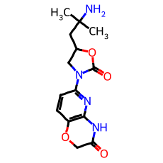 CC(C)(N)CC1CN(c2ccc3c(n2)NC(=O)CO3)C(=O)O1